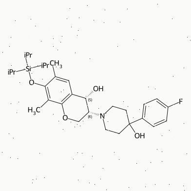 Cc1cc2c(c(C)c1O[Si](C(C)C)(C(C)C)C(C)C)OC[C@@H](N1CCC(O)(c3ccc(F)cc3)CC1)[C@H]2O